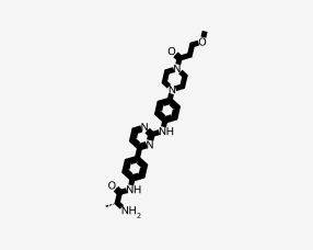 COCCC(=O)N1CCN(c2ccc(Nc3nccc(-c4ccc(NC(=O)[C@@H](C)N)cc4)n3)cc2)CC1